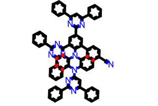 N#Cc1ccc(-c2cc(-c3nc(-c4ccccc4)cc(-c4ccccc4)n3)cc(-c3nc(-c4ccccc4)nc(-c4ccccc4)n3)c2N2c3ccccc3N(c3cc(-c4ccccc4)nc(-c4ccccc4)n3)c3ccccc32)cc1